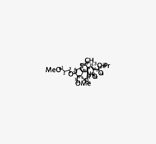 COCCCOc1cc2c(cc1COC)-c1c(cc(C(=O)OC(C)C)c(=O)n1C1CC1)C(C)S2